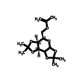 C=C(C)OC[C@H]1OC2OC(C)(C)OC2[C@H]2OC(C)(C)O[C@H]21